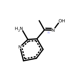 C/C(=N\O)c1cccnc1N